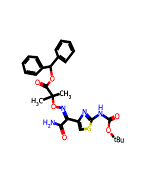 CC(C)(C)OC(=O)Nc1nc(C(=NOC(C)(C)C(=O)OC(c2ccccc2)c2ccccc2)C(N)=O)cs1